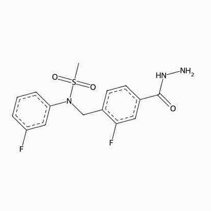 CS(=O)(=O)N(Cc1ccc(C(=O)NN)cc1F)c1cccc(F)c1